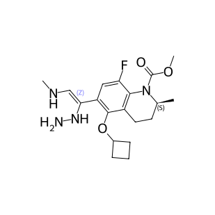 CN/C=C(\NN)c1cc(F)c2c(c1OC1CCC1)CC[C@H](C)N2C(=O)OC